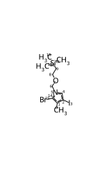 Cc1c(I)cn(COCC[Si](C)(C)C)c1Br